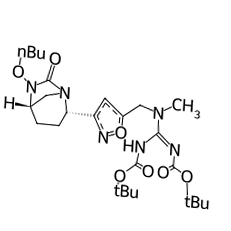 CCCCON1C(=O)N2C[C@@H]1CC[C@H]2c1cc(CN(C)/C(=N/C(=O)OC(C)(C)C)NC(=O)OC(C)(C)C)on1